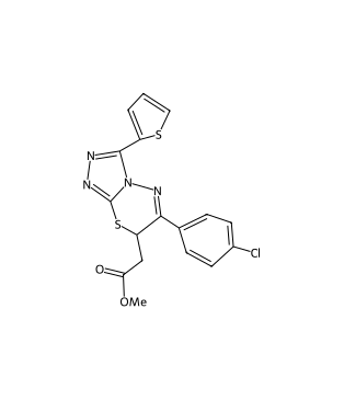 COC(=O)CC1Sc2nnc(-c3cccs3)n2N=C1c1ccc(Cl)cc1